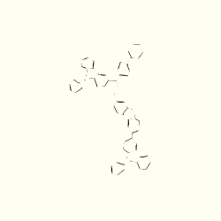 C1=CC(c2ccc(C(CCc3ccc4c(c3)sc3ccc(-c5ccc6c(c5)c5ccccc5n6-c5ccccc5)cc34)c3ccc4c(c3)c3ccccc3n4-c3ccccc3)cc2)=CCC1